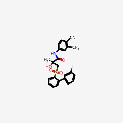 CC(O)(CS(=O)(=O)c1ccccc1-c1cccc(I)c1)C(=O)Nc1ccc(C#N)c(C(F)(F)F)c1